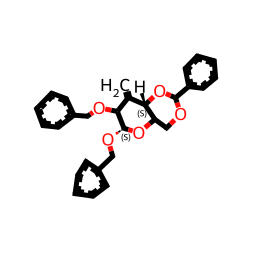 C=C1C(OCc2ccccc2)[C@@H](OCc2ccccc2)OC2COC(c3ccccc3)O[C@@H]12